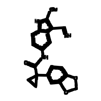 CC(C)(C)c1[nH]c2ccc(NC(=O)C3(c4ccc5c(c4)OCO5)CC3)cc2c1C=N